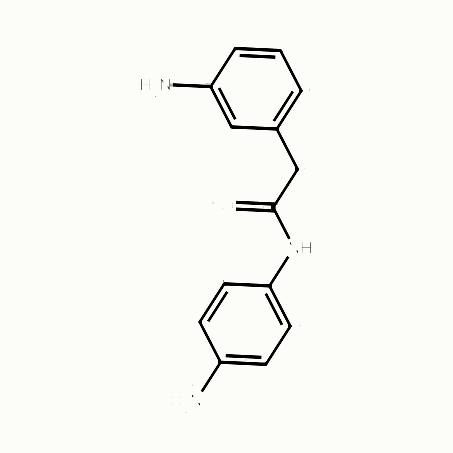 Nc1cccc(CC(=O)Nc2ccc([N+](=O)[O-])cc2)c1